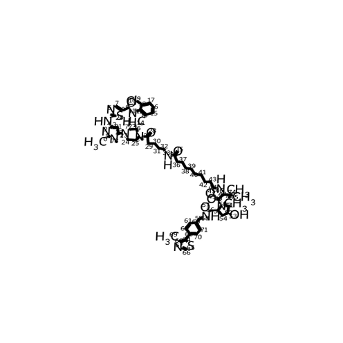 Cc1nc(Nc2ncc(C(=O)Nc3c(C)cccc3Cl)s2)cc(N2CCN(C(=O)CCCCNC(=O)CCCCCCCCC(=O)NC(C(=O)N3C[C@H](O)C[C@H]3C(=O)NCc3ccc(-c4scnc4C)cc3)C(C)(C)C)CC2)n1